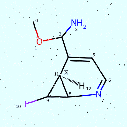 COC(N)C1=CC=NC2C(I)[C@@H]12